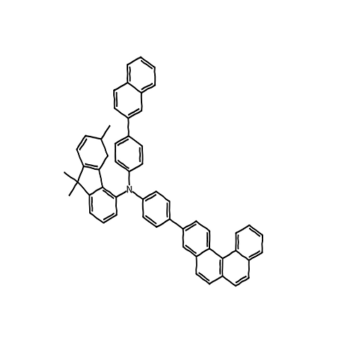 CC1C=CC2=C(C1)c1c(N(c3ccc(-c4ccc5ccccc5c4)cc3)c3ccc(-c4ccc5c(ccc6ccc7ccccc7c65)c4)cc3)cccc1C2(C)C